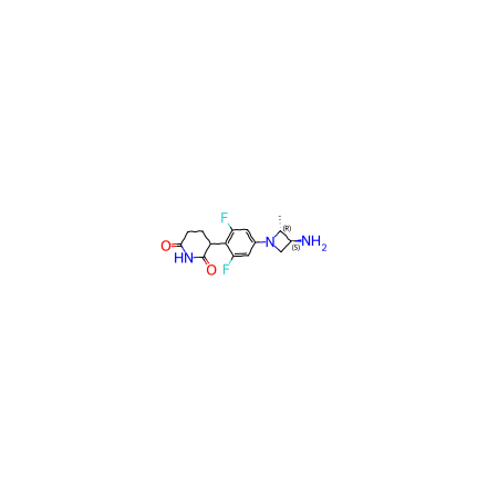 C[C@@H]1[C@@H](N)CN1c1cc(F)c(C2CCC(=O)NC2=O)c(F)c1